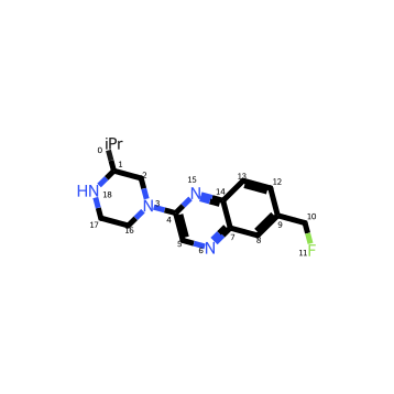 CC(C)C1CN(c2cnc3cc(CF)ccc3n2)CCN1